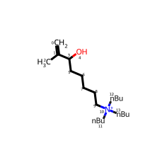 C=C(C)C(O)CCCCC[N+](CCCC)(CCCC)CCCC